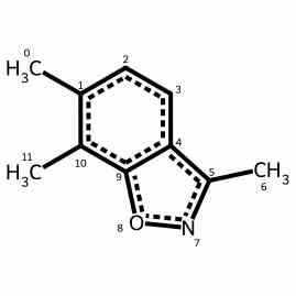 Cc1ccc2c(C)noc2c1C